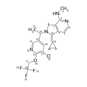 CNc1nccc2c1CN(C(C)c1cnc(OCC(F)(F)F)c(Cl)c1)C2=C1CC1